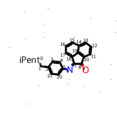 CCCC(C)Cc1ccc(N=C2C(=O)c3cccc4cccc2c34)cc1